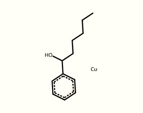 CCCCCC(O)c1ccccc1.[Cu]